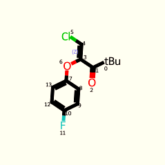 CC(C)(C)C(=O)/C(=C/Cl)Oc1ccc(F)cc1